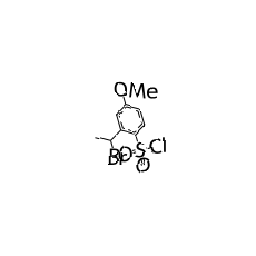 COc1ccc(S(=O)(=O)Cl)c(C(C)Br)c1